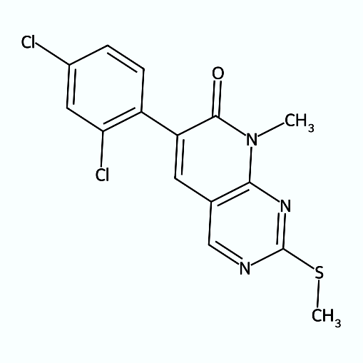 CSc1ncc2cc(-c3ccc(Cl)cc3Cl)c(=O)n(C)c2n1